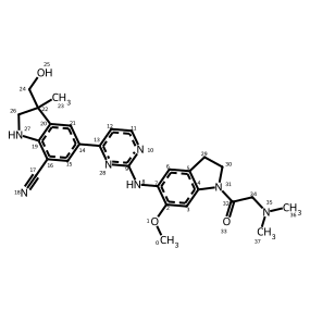 COc1cc2c(cc1Nc1nccc(-c3cc(C#N)c4c(c3)C(C)(CO)CN4)n1)CCN2C(=O)CN(C)C